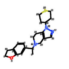 CC(c1ccc2c(c1)OCC2)N1CCc2c(cnn2C2CCSCC2)C1